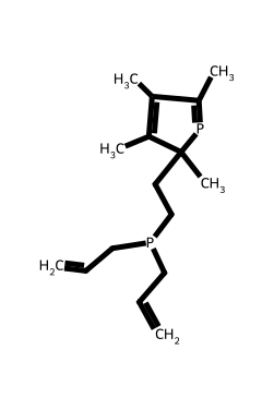 C=CCP(CC=C)CCC1(C)P=C(C)C(C)=C1C